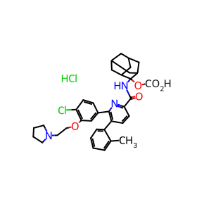 Cc1ccccc1-c1ccc(C(=O)NC2(OC(=O)O)C3CC4CC(C3)CC2C4)nc1-c1ccc(Cl)c(OCCN2CCCC2)c1.Cl